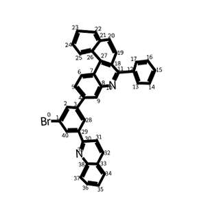 Brc1cc(-c2ccc3c(c2)nc(-c2ccccc2)c2ccc4ccccc4c23)cc(-c2ccc3ccccc3n2)c1